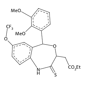 CCOC(=O)CC1OC(c2cccc(OC)c2OC)c2cc(OC(F)(F)F)ccc2NC1=S